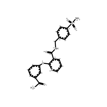 CC(=O)c1cccc(Oc2ncccc2C(=O)NCc2ccc(S(N)(=O)=O)cc2)c1